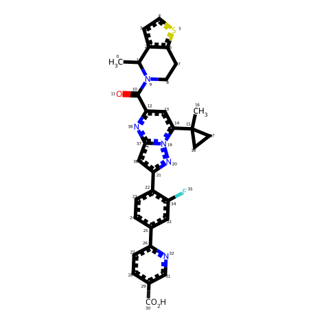 CC1c2ccsc2CCN1C(=O)c1cc(C2(C)CC2)n2nc(-c3ccc(-c4ccc(C(=O)O)cn4)cc3F)cc2n1